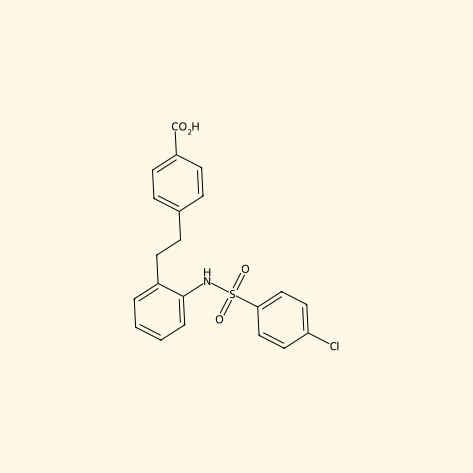 O=C(O)c1ccc(CCc2ccccc2NS(=O)(=O)c2ccc(Cl)cc2)cc1